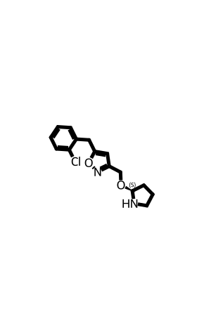 Clc1ccccc1Cc1cc(CO[C@H]2CCCN2)no1